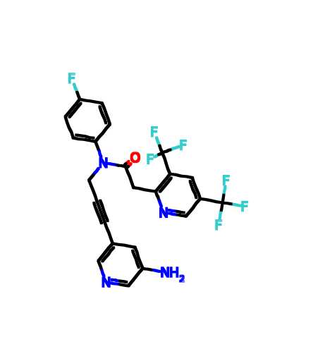 Nc1cncc(C#CCN(C(=O)Cc2ncc(C(F)(F)F)cc2C(F)(F)F)c2ccc(F)cc2)c1